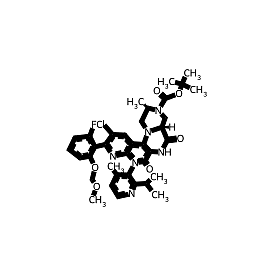 COCOc1cccc(F)c1-c1nc2c(cc1Cl)c1c(c(=O)n2-c2c(C)ccnc2C(C)C)NC(=O)[C@H]2CN(C(=O)OC(C)(C)C)[C@H](C)CN12